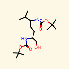 CC(C)C(CC[C@@H](CO)NC(=O)OC(C)(C)C)NC(=O)OC(C)(C)C